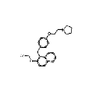 CC(=O)COc1ccc2ccccc2c1Cc1ccc(OCCN2CCCC2)cc1